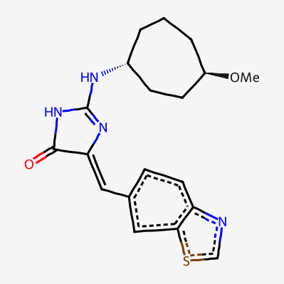 CO[C@@H]1CCC[C@@H](NC2=N/C(=C\c3ccc4ncsc4c3)C(=O)N2)CC1